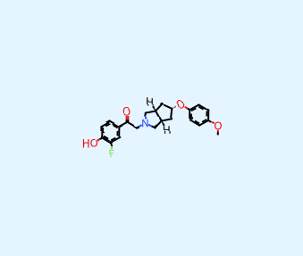 COc1ccc(O[C@@H]2C[C@@H]3CN(CC(=O)c4ccc(O)c(F)c4)C[C@@H]3C2)cc1